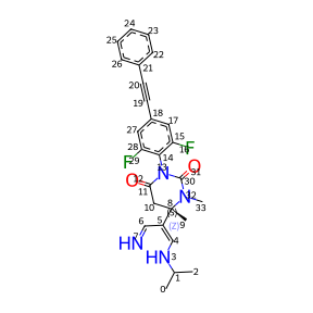 CC(C)N/C=C(\C=N)[C@]1(C)CC(=O)N(c2c(F)cc(C#Cc3ccccc3)cc2F)C(=O)N1C